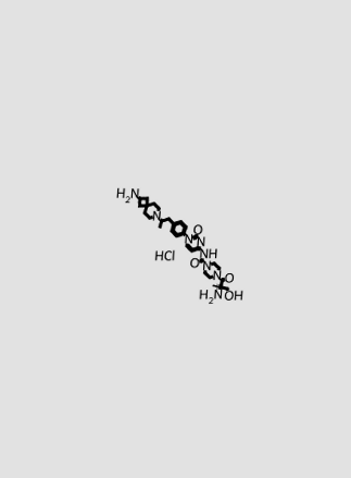 CC(Cc1ccc(-n2ccc(NC(=O)N3CCN(C(=O)[C@@](C)(N)CO)CC3)nc2=O)cc1)N1CCC2(CC1)CC(N)C2.Cl